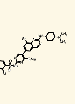 CCc1cc(-c2cnc(NS(=O)(=O)c3ccccc3Cl)nc2OC)cc2cnc(N[C@H]3CC[C@H](N(C)C)CC3)nc12